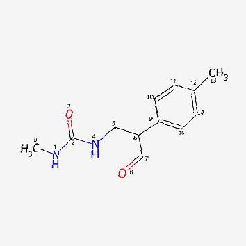 CNC(=O)NCC(C=O)c1ccc(C)cc1